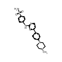 CN1CCN(c2ccc(-c3ccnc(Nc4ccc(S(N)(=O)=O)cc4)n3)cc2)CC1